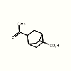 COC(=O)C1CC2CCC1CC2C(=O)O